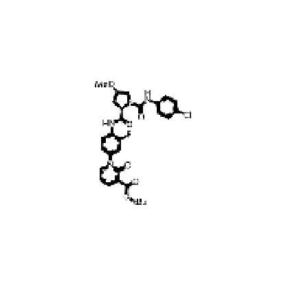 CO[C@@H]1C[C@H](C(=O)Nc2ccc(-n3cccc(C(=O)OC(C)(C)C)c3=O)cc2F)N(C(=O)Nc2ccc(Cl)cc2)C1